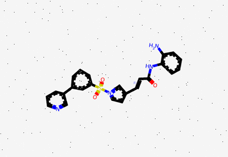 Nc1ccccc1NC(=O)/C=C/c1ccn(S(=O)(=O)c2cccc(-c3cccnc3)c2)c1